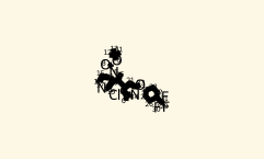 Cc1cc(-c2cn(C(=O)OC(C)(C)C)c3ccnc(Cl)c23)cc(OC2CCC(C(F)(F)F)CC2)n1